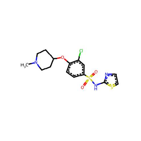 CN1CCC(Oc2ccc(S(=O)(=O)Nc3nccs3)cc2Cl)CC1